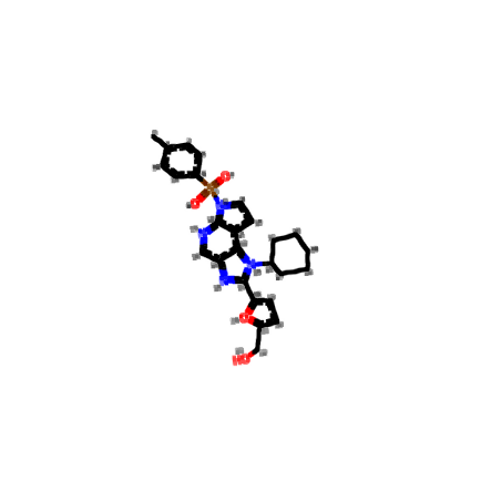 Cc1ccc(S(=O)(=O)n2ccc3c2ncc2nc(-c4ccc(CO)o4)n(C4CCCCC4)c23)cc1